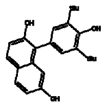 CC(C)(C)c1cc(-c2c(O)ccc3ccc(O)cc23)cc(C(C)(C)C)c1O